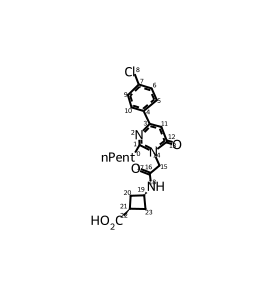 CCCCCc1nc(-c2ccc(Cl)cc2)cc(=O)n1CC(=O)N[C@H]1C[C@H](C(=O)O)C1